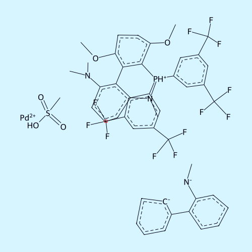 COc1ccc(OC)c([PH+](c2cc(C(F)(F)F)cc(C(F)(F)F)c2)c2cc(C(F)(F)F)cc(C(F)(F)F)c2)c1-c1c(N(C)C)cccc1N(C)C.CS(=O)(=O)O.C[N-]c1ccccc1-c1[c-]cccc1.[Pd+2]